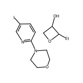 CCC1OCC1O.Ic1ccc(N2CCOCC2)nc1